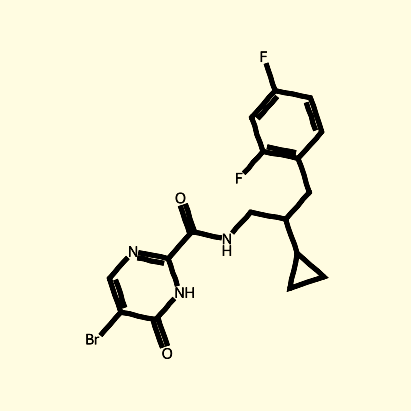 O=C(NCC(Cc1ccc(F)cc1F)C1CC1)c1ncc(Br)c(=O)[nH]1